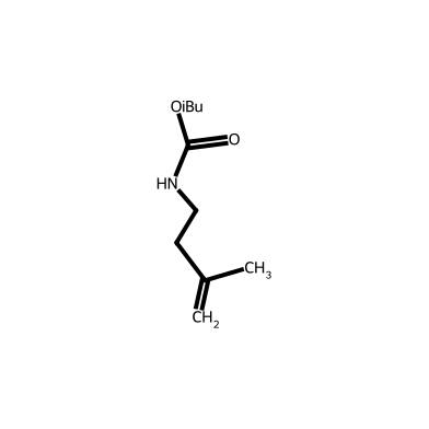 C=C(C)CCNC(=O)OCC(C)C